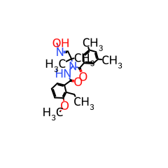 CCc1c(OC)cccc1C(=O)NN(C(=O)c1cc(C)cc(C)c1)C(C)(C)C=NO